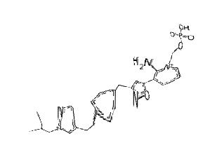 CC(C)Cn1cc(Cc2ccc(Cc3cc(-c4ccc[n+](COP(=O)([O-])O)c4N)on3)cc2)cn1